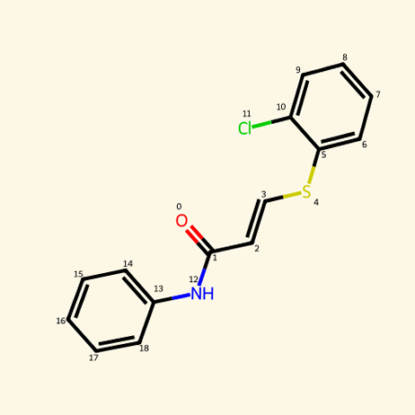 O=C(C=CSc1ccccc1Cl)Nc1ccccc1